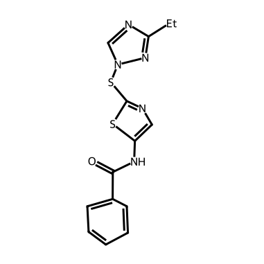 CCc1ncn(Sc2ncc(NC(=O)c3ccccc3)s2)n1